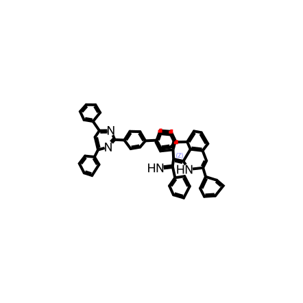 N=C(/C(=C1\NC(c2ccccc2)=Cc2cccc(-c3ccc(-c4ccc(-c5nc(-c6ccccc6)cc(-c6ccccc6)n5)cc4)cc3)c21)c1ccccc1)c1ccccc1